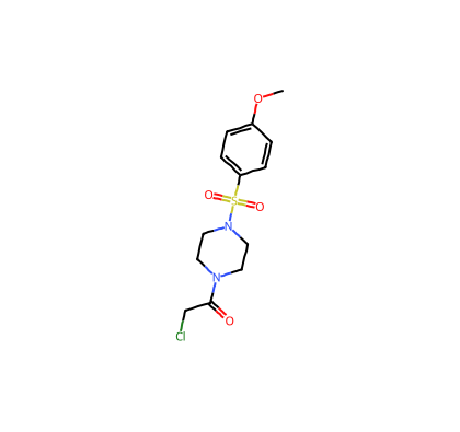 COc1ccc(S(=O)(=O)N2CCN(C(=O)CCl)CC2)cc1